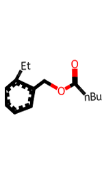 [CH2]CCCC(=O)OCc1ccccc1CC